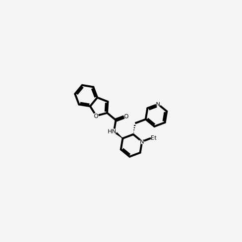 CCN1CC=C[C@@H](NC(=O)c2cc3ccccc3o2)[C@@H]1Cc1cccnc1